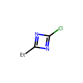 CCC1=NC(Cl)=N1